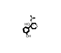 CN(C)C[C@@H]1CSCC[C@@]1(O)c1cccc(O)c1